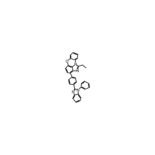 CCc1nc2c(-c3ccc(-c4nc5ccccc5n4-c4ccccc4)cc3)ccc3c2n1-c1ccccc1O3